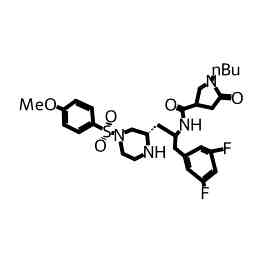 CCCCN1CC(C(=O)NC(Cc2cc(F)cc(F)c2)C[C@H]2CN(S(=O)(=O)c3ccc(OC)cc3)CCN2)CC1=O